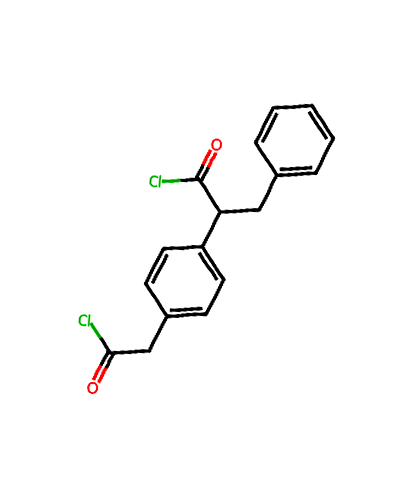 O=C(Cl)Cc1ccc(C(Cc2ccccc2)C(=O)Cl)cc1